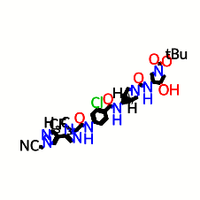 Cn1c(-c2cn(CC#N)nc2C(F)(F)F)cnc1C(=O)Nc1ccc(C(=O)NC2[C@H]3CN(C(=O)NC4CN(C(=O)OC(C)(C)C)CC4O)C[C@@H]23)c(Cl)c1